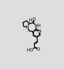 O=C(O)C=Cc1cnc2c(c1)CN1CCC[C@H]1C(=O)N2